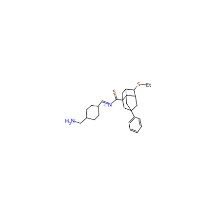 CCSC1C2CC3(C(=S)/N=C/C4CCC(CN)CC4)CC1CC(c1ccccc1)(C2)C3